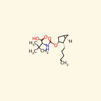 C=CCCC[C@@H]1[C@@H](OC(=O)N[C@H](C(=O)O)C(C)(C)C)CC2C[C@H]21